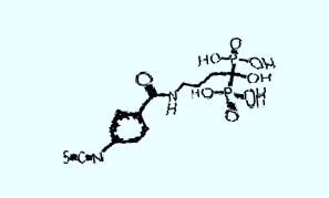 O=C(NCCCC(O)(P(=O)(O)O)P(=O)(O)O)c1ccc(N=C=S)cc1